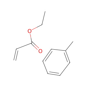 C=CC(=O)OCC.Cc1ccccc1